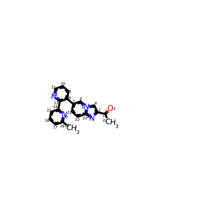 CC(=O)c1cn2cc(-c3cccnc3-c3cccc(C)n3)ccc2n1